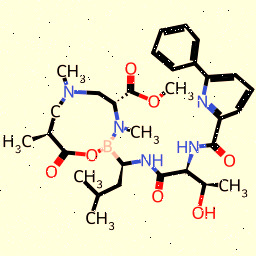 COC(=O)[C@H]1CN(C)C[C@H](C)C(=O)OB([C@H](CC(C)C)NC(=O)[C@@H](NC(=O)c2cccc(-c3ccccc3)n2)[C@@H](C)O)N1C